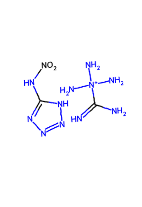 N=C(N)[N+](N)(N)N.O=[N+]([O-])Nc1nnn[nH]1